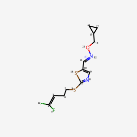 FC(F)=CCCSc1ncc(/C=N/OCC2CC2)s1